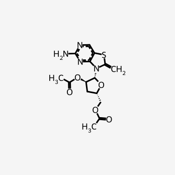 C=C1Sc2cnc(N)nc2N1[C@@H]1O[C@H](COC(C)=O)C[C@H]1OC(C)=O